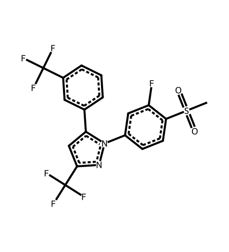 CS(=O)(=O)c1ccc(-n2nc(C(F)(F)F)cc2-c2cccc(C(F)(F)F)c2)cc1F